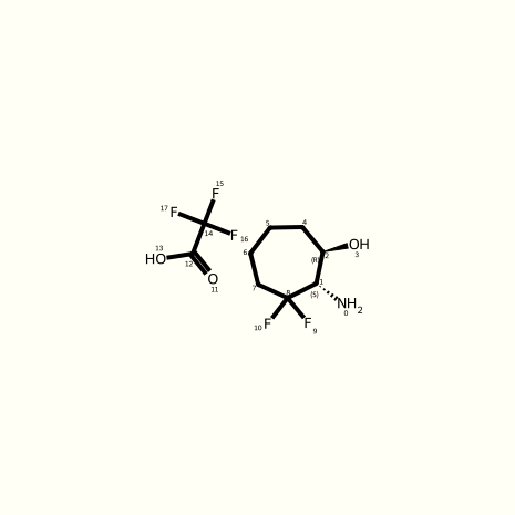 N[C@H]1[C@H](O)CCCCC1(F)F.O=C(O)C(F)(F)F